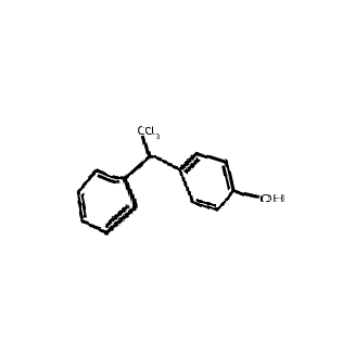 Oc1ccc(C(c2ccccc2)C(Cl)(Cl)Cl)cc1